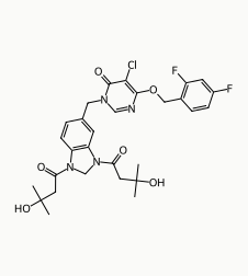 CC(C)(O)CC(=O)N1CN(C(=O)CC(C)(C)O)c2cc(Cn3cnc(OCc4ccc(F)cc4F)c(Cl)c3=O)ccc21